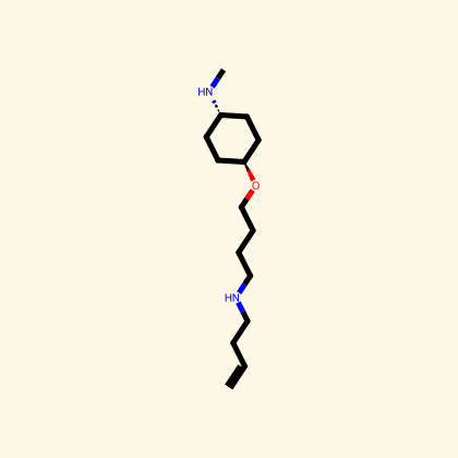 C=CCCNCCCCO[C@H]1CC[C@H](NC)CC1